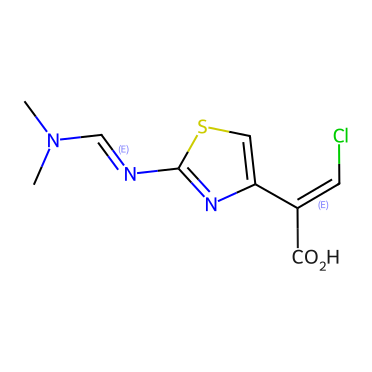 CN(C)/C=N/c1nc(/C(=C\Cl)C(=O)O)cs1